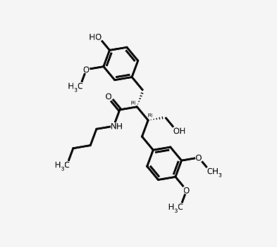 CCCCNC(=O)[C@H](Cc1ccc(O)c(OC)c1)[C@H](CO)Cc1ccc(OC)c(OC)c1